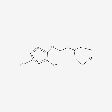 CC(C)c1ccc(OCCN2CCOCC2)c(C(C)C)c1